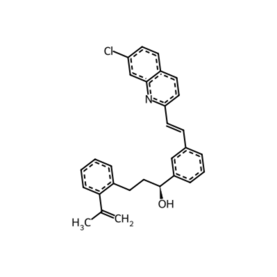 C=C(C)c1ccccc1CC[C@H](O)c1cccc(/C=C/c2ccc3ccc(Cl)cc3n2)c1